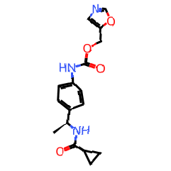 C[C@H](NC(=O)C1CC1)c1ccc(NC(=O)OCc2cnco2)cc1